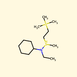 CCN(C1CCCCC1)[SH](C)CCS(C)(C)C